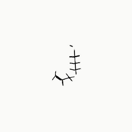 FC(F)=C(F)C(F)(F)OC(F)(F)C(F)(F)C(F)(F)OC(F)(F)F